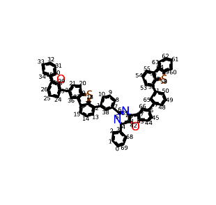 c1ccc(-c2nc(-c3cccc(-c4cccc5c4sc4ccc(-c6cccc7c6oc6ccccc67)cc45)c3)nc3c2oc2ccc(-c4cccc(-c5cccc6c5sc5ccccc56)c4)cc23)cc1